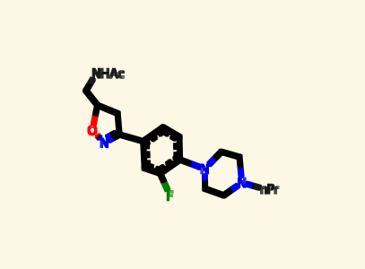 [CH2]CCN1CCN(c2ccc(C3=NOC(CNC(C)=O)C3)cc2F)CC1